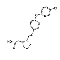 O=C(O)CN1CCC[C@@H]1COc1ccc(Oc2ccc(Cl)cc2)cc1